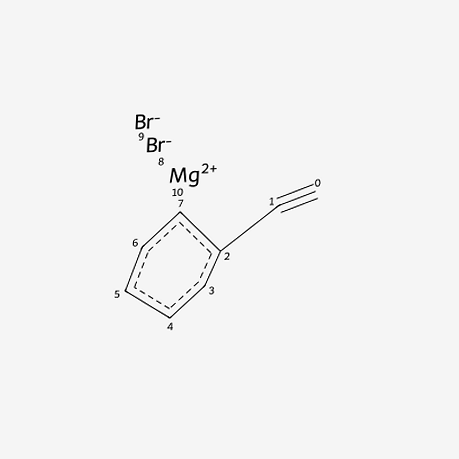 C#Cc1ccccc1.[Br-].[Br-].[Mg+2]